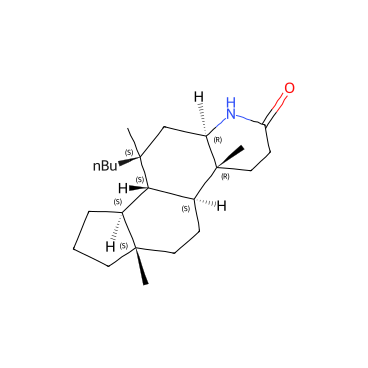 CCCC[C@@]1(C)C[C@H]2NC(=O)CC[C@]2(C)[C@H]2CC[C@]3(C)CCC[C@H]3[C@@H]21